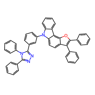 c1ccc(-c2oc3c(ccc4c3c3ccccc3n4-c3cccc(-c4nnc(-c5ccccc5)n4-c4ccccc4)c3)c2-c2ccccc2)cc1